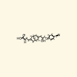 N#Cc1ccc(OCC(O)CN2CC3CC(CN(CCNC(=O)O)C3)C2)cc1